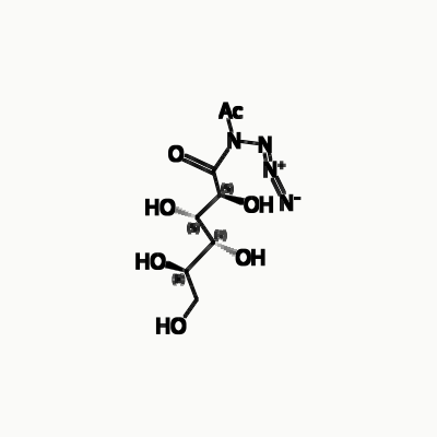 CC(=O)N(N=[N+]=[N-])C(=O)[C@@H](O)[C@@H](O)[C@H](O)[C@H](O)CO